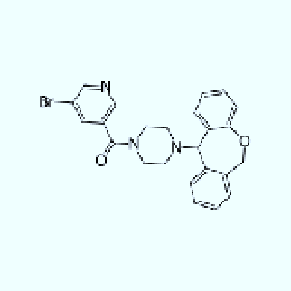 O=C(c1cncc(Br)c1)N1CCN(C2c3ccccc3COc3ccccc32)CC1